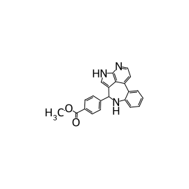 COC(=O)c1ccc(C2Nc3ccccc3-c3ccnc4[nH]cc2c34)cc1